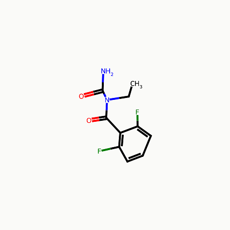 CCN(C(N)=O)C(=O)c1c(F)cccc1F